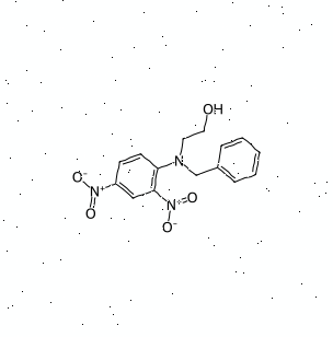 O=[N+]([O-])c1ccc(N(CCO)Cc2ccccc2)c([N+](=O)[O-])c1